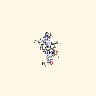 CC(=O)N1CCC(n2ncc3c4c(C(C)Nc5ccc(Cl)nc5-c5cnn(C)c5)cc(C)cc4c(=O)n(C)c32)CC1